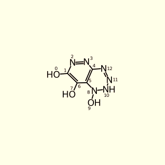 Oc1nnc2c(c1O)N(O)NN=N2